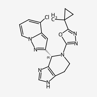 CC1(c2nnc(N3CCc4[nH]cnc4[C@@H]3c3cc4c(Cl)cccn4n3)o2)CC1